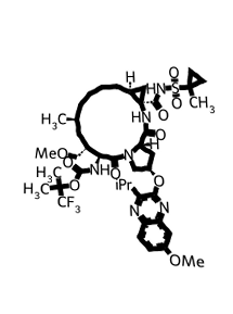 COC[C@@H]1C[C@@H](C)CCCC[C@H]2C[C@@]2(C(=O)NS(=O)(=O)C2(C)CC2)NC(=O)[C@@H]2C[C@@H](Oc3nc4cc(OC)ccc4nc3C(C)C)CN2C(=O)[C@H]1NC(=O)OC(C)(C)C(F)(F)F